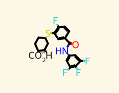 O=C(Nc1cc(F)c(F)c(F)c1)c1ccc(F)c(SC2CCC[C@H](C(=O)O)C2)c1